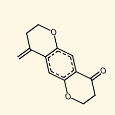 C=C1CCOc2cc3c(cc21)OCCC3=O